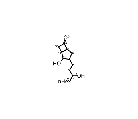 CCCCCCC(O)CCC1CC2C(=O)CC2C1O